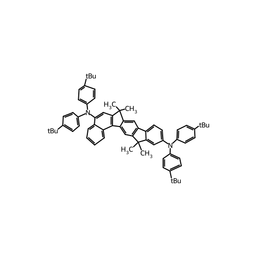 CC(C)(C)c1ccc(N(c2ccc(C(C)(C)C)cc2)c2ccc3c(c2)C(C)(C)c2cc4c(cc2-3)C(C)(C)c2cc(N(c3ccc(C(C)(C)C)cc3)c3ccc(C(C)(C)C)cc3)c3ccccc3c2-4)cc1